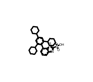 O=S(=O)(O)c1nc2cccc(-c3c(C4CCCCC4)cc(C4CCCCC4)cc3C3CCCCC3)c2[nH]1